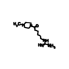 CN1CCN(C(=O)CCCCCNC(=N)N)CC1